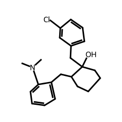 CN(C)c1ccccc1CC1CCCCC1(O)Cc1cccc(Cl)c1